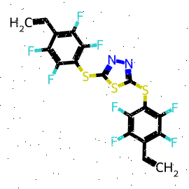 C=Cc1c(F)c(F)c(Sc2nnc(Sc3c(F)c(F)c(C=C)c(F)c3F)s2)c(F)c1F